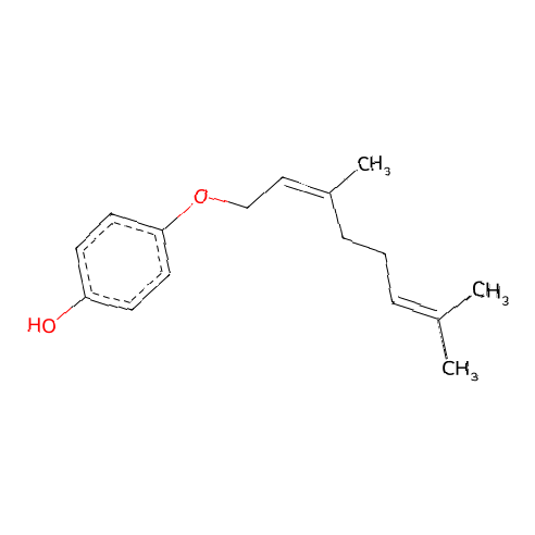 CC(C)=CCCC(C)=CCOc1ccc(O)cc1